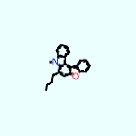 CCCCc1cc2oc3ccccc3c2c2c3ccccc3n(C)c12